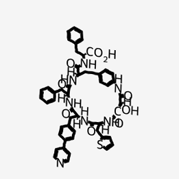 O=C1C[C@@H](O)C(=O)Nc2ccc(cc2)C[C@@H](C(=O)N[C@@H](Cc2ccccc2)C(=O)O)NC(=O)[C@@H](Cc2ccccc2)NC(=O)[C@H](Cc2ccc(-c3ccncc3)cc2)NC(=O)[C@@H](Cc2cccs2)N1